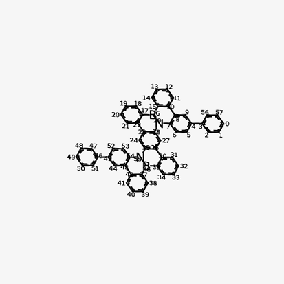 c1ccc(-c2ccc3c(c2)-c2ccccc2B2c4ccccc4-c4cc5c(cc4N23)-c2ccccc2B2c3ccccc3-c3cc(-c4ccccc4)ccc3N25)cc1